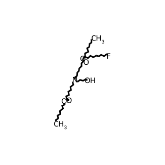 CCCCCCCCCOC(=O)CCCCCCCN(CCCCO)CCCCCCCC(=O)OC(CCCCCCCC)CCCCCCCCF